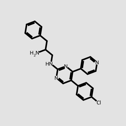 NC(CNc1ncc(-c2ccc(Cl)cc2)c(-c2ccncc2)n1)Cc1ccccc1